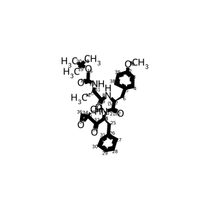 COc1ccc(C[C@H](NC(=O)[C@H](C)NC(=O)OC(C)(C)C)C(=O)N[C@@H](Cc2ccccc2)C(=O)[C@@]2(C)CO2)cc1